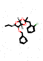 CCC[C@H]1O[C@@H]2OC(C)(Cc3ccccc3Cl)O[C@@H]2[C@H]1OCc1ccccc1